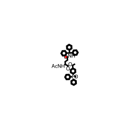 CC(=O)NC(CCC(=O)NC(c1ccccc1)(c1ccccc1)c1ccccc1)C(=O)OC(C)c1ccc(P(=O)(c2ccccc2)c2ccccc2)cc1